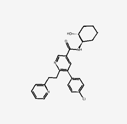 O=C(N[C@@H]1CCCC[C@H]1O)c1cnc(CCc2ccccn2)c(-c2ccc(Cl)cc2)c1